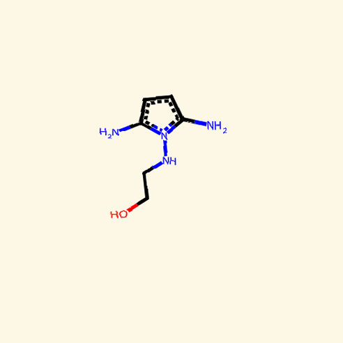 Nc1ccc(N)n1NCCO